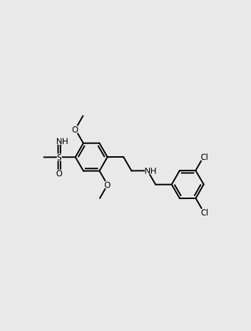 COc1cc(S(C)(=N)=O)c(OC)cc1CCNCc1cc(Cl)cc(Cl)c1